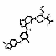 C=C(F)C(=O)N1CCN(c2ccc3ncnc(Nc4ccc(Oc5ccc6c(c5)nnn6C)c(C)c4)c3n2)C[C@H]1COC